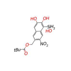 CC(C)(C)C(=O)OCc1cc2cc(O)c(O)c([SiH2]O)c2cc1[N+](=O)[O-]